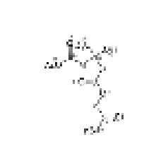 CCCCC(CC)COC(=O)CC(O)(CC(=O)OC(C)=O)C(=O)O